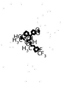 C[C@@H](Cc1ccc(C(F)(F)F)c(F)c1)C(=O)NC1N=C(c2ccc3c(c2)OCO3)c2ccccc2N(CC(C)(C)O)C1=O